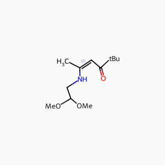 COC(CN/C(C)=C\C(=O)C(C)(C)C)OC